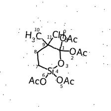 CC(=O)OC1(OC(C)=O)O[Si](OC(C)=O)(OC(C)=O)CCC1(C)C